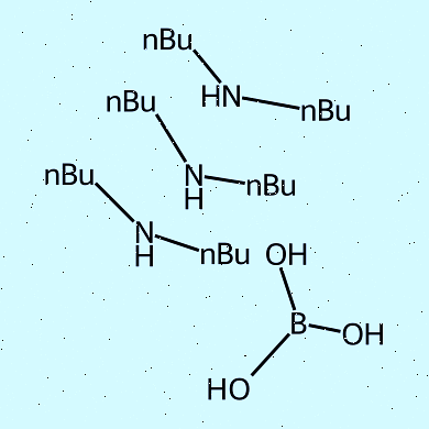 CCCCNCCCC.CCCCNCCCC.CCCCNCCCC.OB(O)O